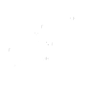 O=C(Nc1ccc(C(F)(F)F)cc1F)c1cc(F)c(F)cc1O